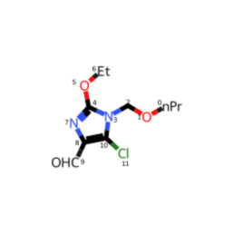 CCCOCn1c(OCC)nc(C=O)c1Cl